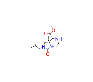 COC(=O)[C@@H]1NCCN2C(=O)N(CC(C)C)C[C@H]12